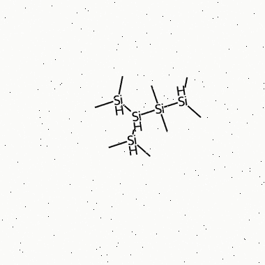 C[SiH](C)[SiH]([SiH](C)C)[Si](C)(C)[SiH](C)C